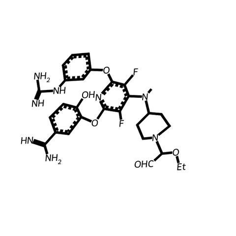 CCOC(C=O)N1CCC(N(C)c2c(F)c(Oc3cccc(NC(=N)N)c3)nc(Oc3cc(C(=N)N)ccc3O)c2F)CC1